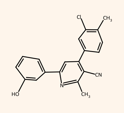 Cc1ccc(-c2cc(-c3cccc(O)c3)nc(C)c2C#N)cc1Cl